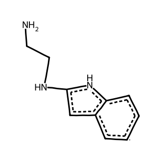 NCCNc1cc2c[c]ccc2[nH]1